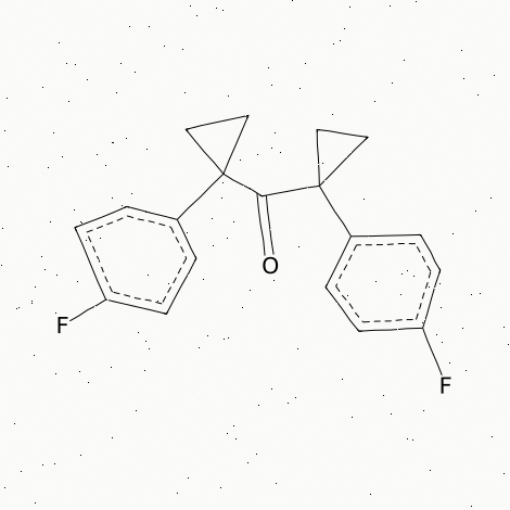 O=C(C1(c2ccc(F)cc2)CC1)C1(c2ccc(F)cc2)CC1